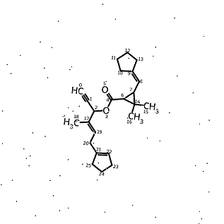 C#CC(OC(=O)C1C(C=C2CCCC2)C1(C)C)C(C)=CCC1=CCCC1